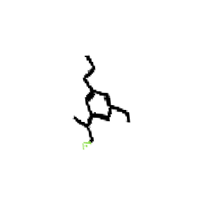 CCCc1cc(CC)cc([C](C)CF)c1